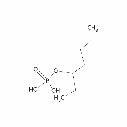 CCCCC(CC)OP(=O)(O)O